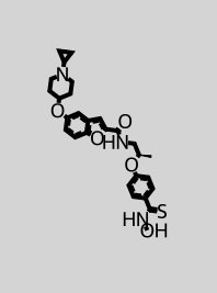 C[C@H](CNC(=O)c1cc2cc(OC3CCN(C4CC4)CC3)ccc2o1)Oc1ccc(C(=S)NO)cc1